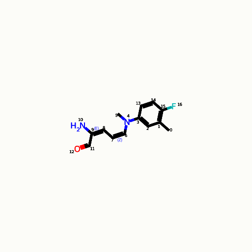 Cc1cc(N(C)/C=C\C=C(\N)C=O)ccc1F